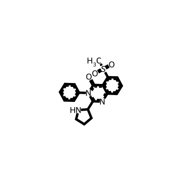 CS(=O)(=O)c1cccc2nc(C3CCCN3)n(-c3ccccc3)c(=O)c12